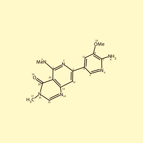 CNc1nc(-c2cnc(N)c(OC)c2)cc2ncn(C)c(=O)c12